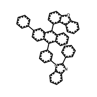 c1ccc(-c2ccc3c(-c4cccc(-n5c(-c6ccccc6)nc6ccccc65)c4)c4ccccc4c(-c4cccc5oc6ccccc6c45)c3c2)cc1